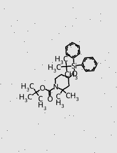 CC(C)(C)OC(=O)N1CCC(O[Si](c2ccccc2)(c2ccccc2)C(C)(C)C)CC1(C)C